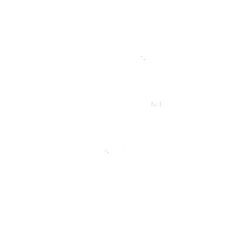 N#Cc1cc(CC2(N3CCOCC3)CCCCC2)c[nH]1